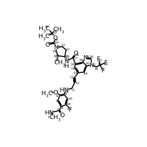 CNC(=O)c1cc(OC)c(NCC#Cc2cc(C(=O)N[C@H]3CCN(C(=O)OC(C)(C)C)C[C@@H]3C)c3ncn(CC(F)(F)F)c3c2)cc1F